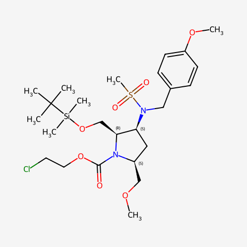 COC[C@@H]1C[C@H](N(Cc2ccc(OC)cc2)S(C)(=O)=O)[C@H](CO[Si](C)(C)C(C)(C)C)N1C(=O)OCCCl